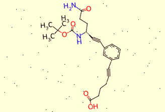 CC(C)(C)OC(=O)N[C@H](C#Cc1cccc(C#CCCCC(=O)O)c1)CCC(N)=O